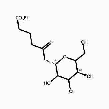 CCOC(=O)CCCC(=O)C[C@@H]1OC(CO)[C@@H](O)C(O)C1O